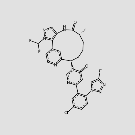 C[C@@H]1CCC[C@@H](n2cnc(-c3cc(Cl)ccc3-n3cc(Cl)nn3)cc2=O)c2cc(ccn2)-c2c(cnn2C(F)F)NC1=O